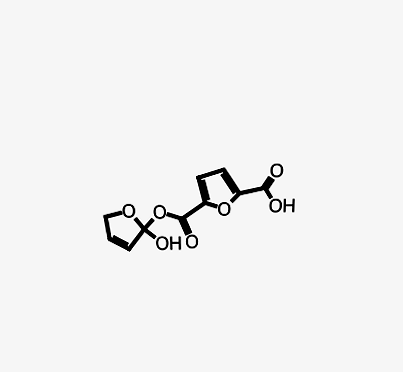 O=C(O)c1ccc(C(=O)OC2(O)C=CCO2)o1